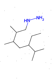 CCC(CC(C)C(C)CNN)C(C)C